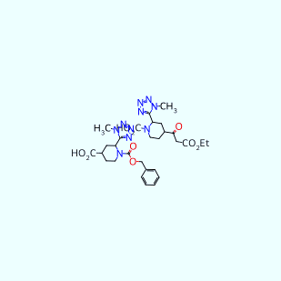 CCOC(=O)CC(=O)C1CCN(C(=O)O)C(c2nnnn2C)C1.Cn1nnnc1C1CC(C(=O)O)CCN1C(=O)OCc1ccccc1